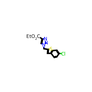 CCOC(=O)c1cn(Cc2cc3ccc(Cl)cc3s2)nn1